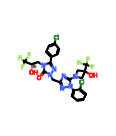 O=c1n(Cc2nc(N3CC(O)(C(F)(F)F)C3)n(-c3ccccc3Cl)n2)nc(-c2ccc(Cl)cc2)n1C[C@H](O)C(F)(F)F